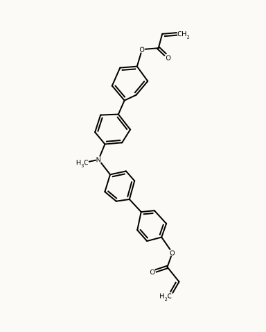 C=CC(=O)Oc1ccc(-c2ccc(N(C)c3ccc(-c4ccc(OC(=O)C=C)cc4)cc3)cc2)cc1